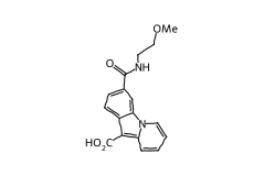 COCCNC(=O)c1ccc2c(C(=O)O)c3ccccn3c2c1